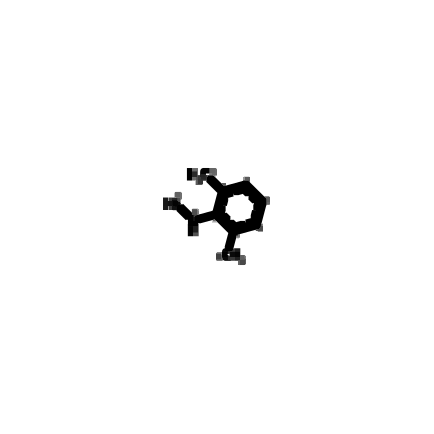 Cc1cccc(C)c1NS